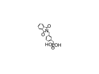 O=C1c2ccccc2C(=O)N1Cc1cccc(CP(=O)(O)O)c1